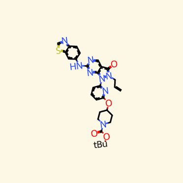 C=CCn1c(=O)c2cnc(Nc3ccc4ncsc4c3)nc2n1-c1cccc(OC2CCN(C(=O)OC(C)(C)C)CC2)n1